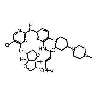 CN1CCN(C2CCN(c3ccc(Nc4ncc(Cl)c(O[C@@H]5CO[C@H]6[C@@H]5OC[C@H]6O)n4)cc3NC(=O)/C=C/CBr)CC2)CC1